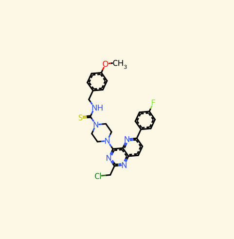 COc1ccc(CNC(=S)N2CCN(c3nc(CCl)nc4ccc(-c5ccc(F)cc5)nc34)CC2)cc1